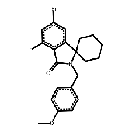 COc1ccc(CN2C(=O)c3c(F)cc(Br)cc3C23CCCCC3)cc1